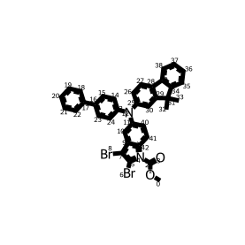 COC(=O)n1c(Br)c(Br)c2cc(N(c3ccc(-c4ccccc4)cc3)c3ccc4c(c3)C(C)(C)c3ccccc3-4)ccc21